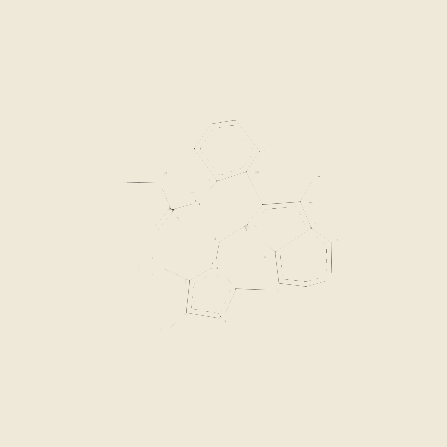 CCCc1nc(C)c(C(=O)O)n1Cc1c2ccocc-2c(Br)c1-c1ccccc1NC(=O)OC(C)(C)C